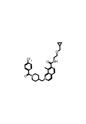 Cc1c(C(=O)NCCOCC2CC2)ccc2c1=CN(CC1CCN(C(=O)c3ccc(C(F)(F)F)cc3)CC1)C=C=2